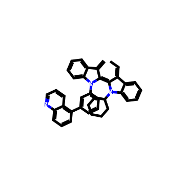 C=c1/c(=c2\c(=C/C)c3ccccc3n2C2CCCCC2)n(-c2cccc(-c3cccc4ncccc34)c2)c2ccccc12